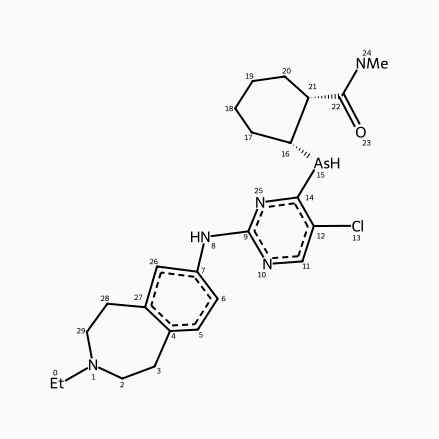 CCN1CCc2ccc(Nc3ncc(Cl)c([AsH][C@@H]4CCCC[C@@H]4C(=O)NC)n3)cc2CC1